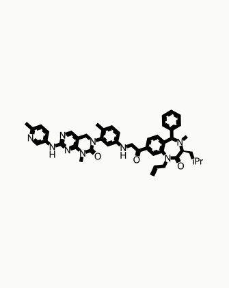 C=CCN1C(=O)[C@H](CC(C)C)N(C)C(c2ccccc2)c2ccc(C(=O)CNc3ccc(C)c(N4Cc5cnc(Nc6ccc(C)nc6)nc5N(C)C4=O)c3)cc21